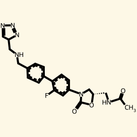 CC(=O)NC[C@H]1CN(c2ccc(-c3ccc(CNCC4C=NN=N4)cc3)c(F)c2)C(=O)O1